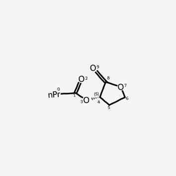 CCCC(=O)O[C@H]1CCOC1=O